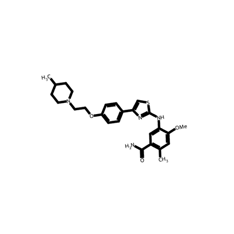 COc1cc(C)c(C(N)=O)cc1Nc1nc(-c2ccc(OCCN3CCC(C)CC3)cc2)cs1